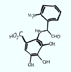 Nc1ccccc1C(C=O)Nc1c(C(=O)O)cc(O)c(O)c1O